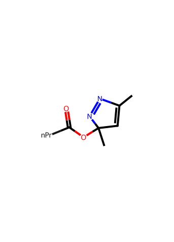 CCCC(=O)OC1(C)C=C(C)N=N1